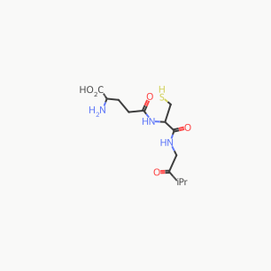 CC(C)C(=O)CNC(=O)C(CS)NC(=O)CCC(N)C(=O)O